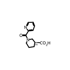 O=C(O)[C@H]1CCCN(C(=O)c2ccccn2)C1